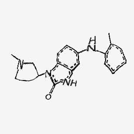 Cc1ccccc1Nc1ccc2c(c1)[nH]c(=O)n2C1CCN(C)C1